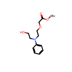 CC(C)(C)OC(=O)COCCN(CCO)c1ccccc1